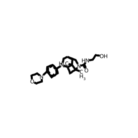 CC12CC3CN(c4ccc(N5CCOCC5)cc4)C1CC2(C)N(C(=O)NCCO)C3